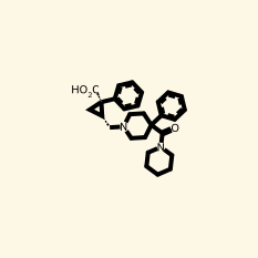 O=C(N1CCCCC1)C1(c2ccccc2)CCN(C[C@@H]2C[C@@]2(C(=O)O)c2ccccc2)CC1